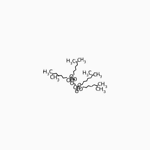 CC(C)CCCCCOP(=O)(OCCCCCC(C)C)OCOP(=O)(OCCCCCC(C)C)OCCCCCC(C)C